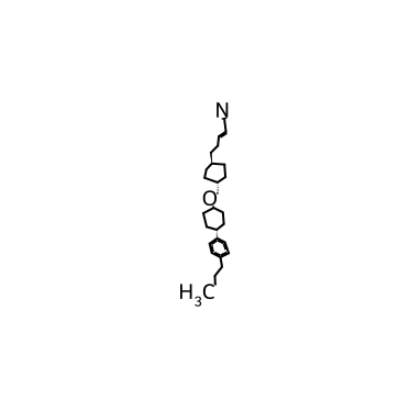 CCCCc1ccc([C@H]2CC[C@H](OC[C@H]3CC[C@H](CC/C=C/C#N)CC3)CC2)cc1